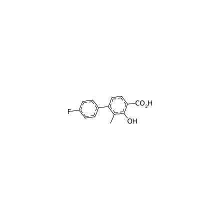 Cc1c(-c2ccc(F)cc2)ccc(C(=O)O)c1O